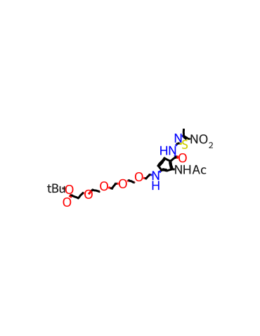 CC(=O)Nc1cc(NCCOCCOCCOCCOCCC(=O)OC(C)(C)C)ccc1C(=O)Nc1nc(C)c([N+](=O)[O-])s1